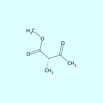 COC(=O)[C@@H](C)C(C)=O